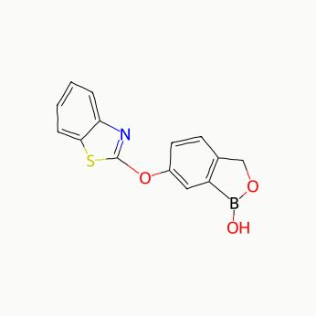 OB1OCc2ccc(Oc3nc4ccccc4s3)cc21